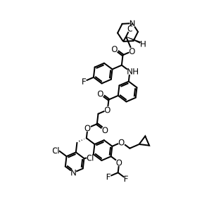 O=C(COC(=O)c1cccc(NC(C(=O)O[C@H]2CN3CCC2CC3)c2ccc(F)cc2)c1)O[C@@H](Cc1c(Cl)cncc1Cl)c1ccc(OC(F)F)c(OCC2CC2)c1